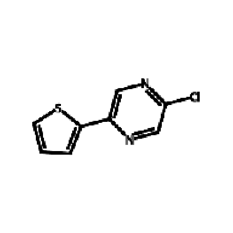 Clc1cnc(-c2cccs2)cn1